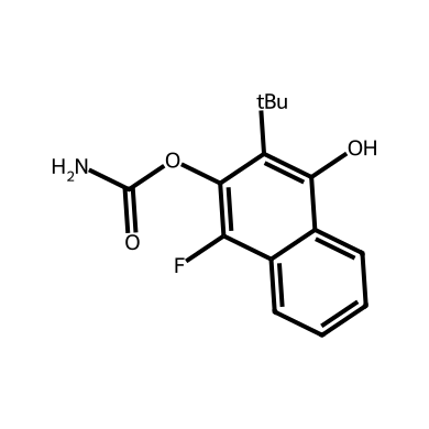 CC(C)(C)c1c(OC(N)=O)c(F)c2ccccc2c1O